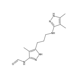 Cc1[nH]nc(NCCCc2[nH]nc(NC=O)c2C)c1C